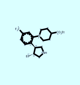 CCOC(=O)C1CCN(c2cc(C(F)(F)F)ccc2[C@H]2CNC[C@@H]2CC)CC1